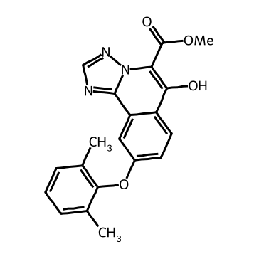 COC(=O)c1c(O)c2ccc(Oc3c(C)cccc3C)cc2c2ncnn12